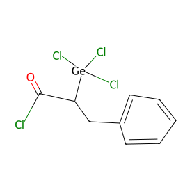 O=C(Cl)[CH](Cc1ccccc1)[Ge]([Cl])([Cl])[Cl]